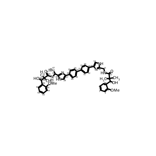 COc1ccccc1C(O)C(C)(C)C(=O)NCc1nc(-c2ccc(-c3ccc(-c4c[nH]c(C(NC(=O)C(C)(C)C(O)c5ccccc5OC)C(C)(C)C)n4)cc3)cc2)c[nH]1